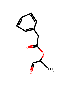 CC(C=O)OC(=O)Cc1ccccc1